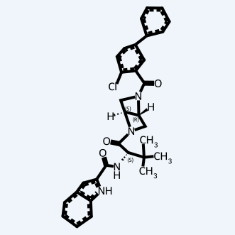 CC(C)(C)[C@H](NC(=O)c1cc2ccccc2[nH]1)C(=O)N1C[C@@H]2[C@@H]1CN2C(=O)c1cc(-c2ccccc2)ccc1Cl